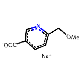 COCc1ccc(C(=O)[O-])cn1.[Na+]